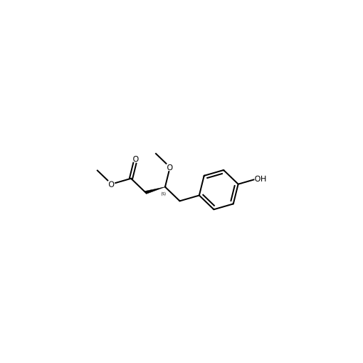 COC(=O)C[C@H](Cc1ccc(O)cc1)OC